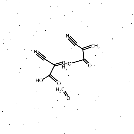 C=C(C#N)C(=O)O.C=C(C#N)C(=O)O.C=O